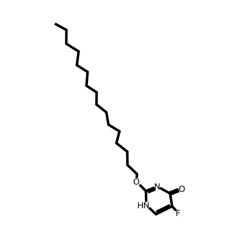 CCCCCCCCCCCCCCCCOc1nc(=O)c(F)c[nH]1